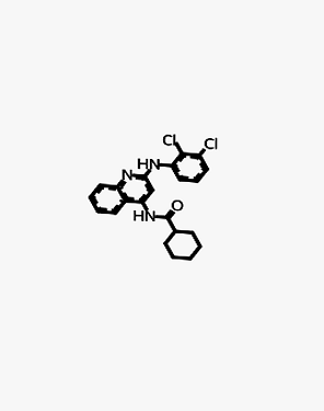 O=C(Nc1cc(Nc2cccc(Cl)c2Cl)nc2ccccc12)C1CCCCC1